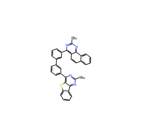 CC(C)(C)c1nc(-c2cccc(-c3cccc(-c4nc(C(C)(C)C)nc5c4sc4ccccc45)c3)c2)c2ccc3ccccc3c2n1